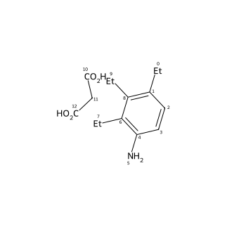 CCc1ccc(N)c(CC)c1CC.O=C(O)CC(=O)O